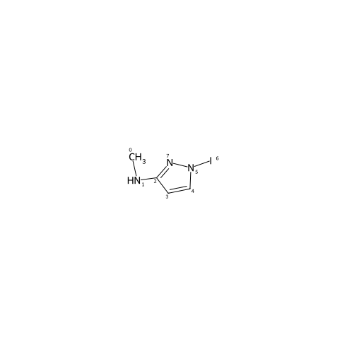 CNc1ccn(I)n1